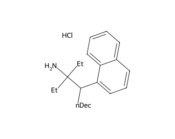 CCCCCCCCCCC(c1cccc2ccccc12)C(N)(CC)CC.Cl